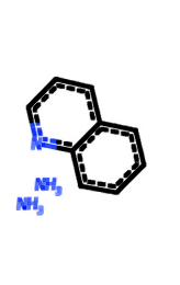 N.N.c1ccc2ncccc2c1